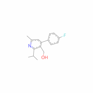 Cc1cc(-c2ccc(F)cc2)c(CO)c(C(C)C)n1